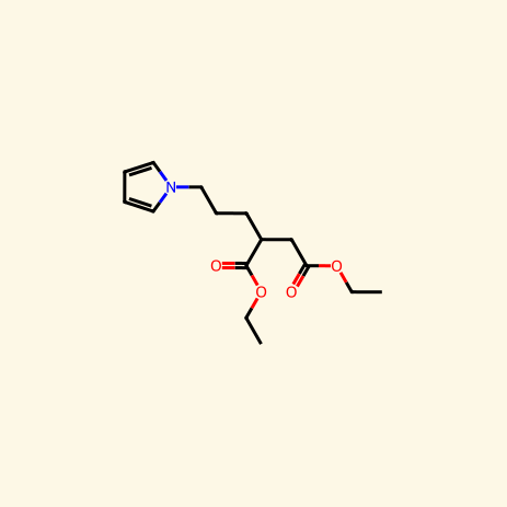 CCOC(=O)CC(CCCn1cccc1)C(=O)OCC